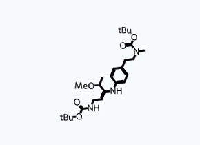 CO[C@@H](C)/C(=C\CNC(=O)OC(C)(C)C)Nc1ccc(CCN(C)C(=O)OC(C)(C)C)cc1